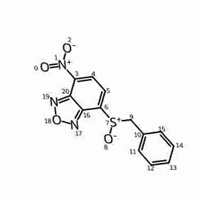 O=[N+]([O-])c1ccc([S+]([O-])Cc2ccccc2)c2nonc12